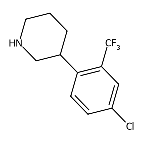 FC(F)(F)c1cc(Cl)ccc1C1CCCNC1